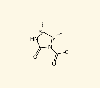 C[C@H]1NC(=O)N(C(=O)Cl)[C@H]1C